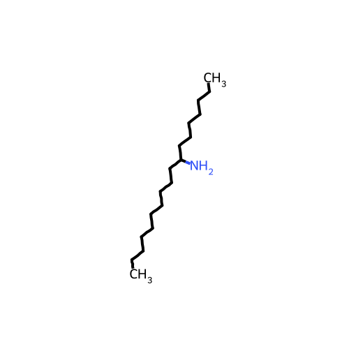 CCCCCCCCCCC(N)CCCCCCC